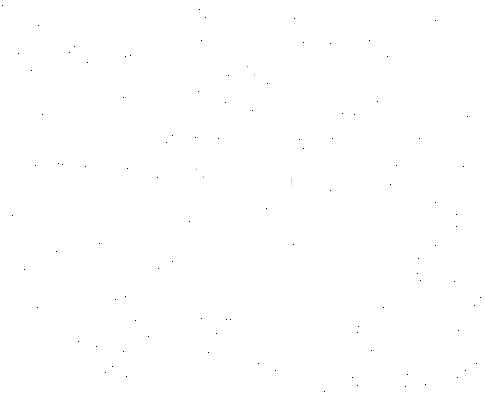 Cc1ccc(S(=O)(=O)O)cc1.c1ccc(CN2C[C@@H]3CCNC[C@@H]32)cc1